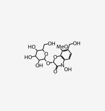 COc1c(CO)ccc2c1O[C@H](OC1OC(CO)C(O)C(O)C1O)C(=O)N2O